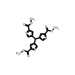 COC(=O)c1cc(C(c2csc(C(=O)OC)c2)c2csc(C(=O)OC)c2)cs1